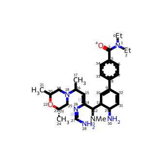 CCN(CC)C(=O)c1ccc(C2=CC(C(NC)C(=C/C(C)N3CC(C)O[C@@H](C)C3)/N=C\N)C(N)C=C2)cc1